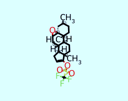 C[C@H]1CC[C@]2(C)[C@H]3CC[C@]4(C)C(OS(=O)(=O)C(F)(F)F)=CC[C@H]4[C@@H]3CC3O[C@]32C1